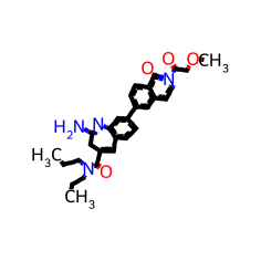 CCCN(CCC)C(=O)C1=Cc2ccc(-c3ccc4c(=O)n(C(=O)COC)ccc4c3)cc2N=C(N)C1